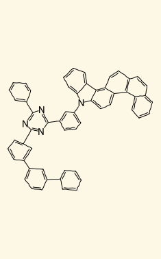 c1ccc(-c2cccc(-c3cccc(-c4nc(-c5ccccc5)nc(-c5cccc(-n6c7ccccc7c7c8ccc9ccc%10ccccc%10c9c8ccc76)c5)n4)c3)c2)cc1